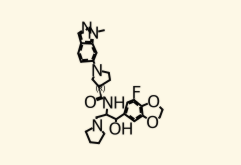 Cn1ncc2ccc(N3CC[C@@H](C(=O)NC(CN4CCCC4)C(O)c4cc(F)c5c(c4)OCCO5)C3)cc21